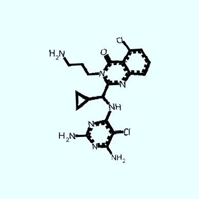 NCCCn1c(C(Nc2nc(N)nc(N)c2Cl)C2CC2)nc2cccc(Cl)c2c1=O